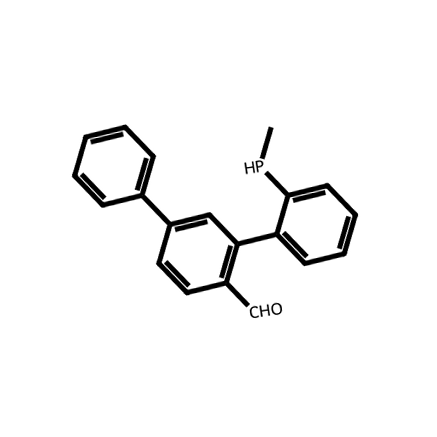 CPc1ccccc1-c1cc(-c2ccccc2)ccc1C=O